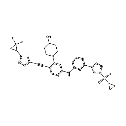 O=S(=O)(C1CC1)n1cc(-c2nccc(Nc3cc(N4CCC(O)CC4)c(C#Cc4cnn(C5CC5(F)F)c4)cn3)n2)cn1